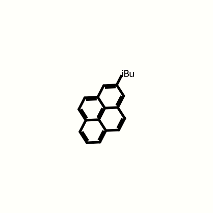 CCC(C)c1cc2ccc3cccc4ccc(c1)c2c34